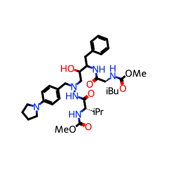 CC[C@H](C)[C@H](NC(=O)OC)C(=O)NC(Cc1ccccc1)C(O)CN(Cc1ccc(N2CCCC2)cc1)NC(=O)[C@@H](NC(=O)OC)C(C)C